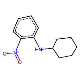 O=[N+]([O-])c1ccccc1NC1CCCCC1